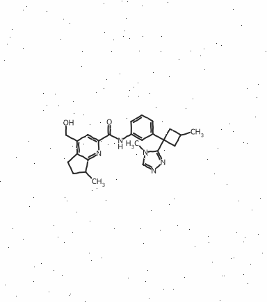 CC1CC(c2cccc(NC(=O)c3cc(CO)c4c(n3)C(C)CC4)c2)(c2nncn2C)C1